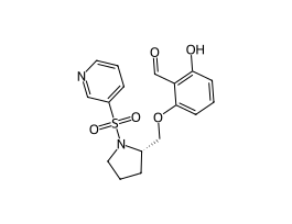 O=Cc1c(O)cccc1OC[C@@H]1CCCN1S(=O)(=O)c1cccnc1